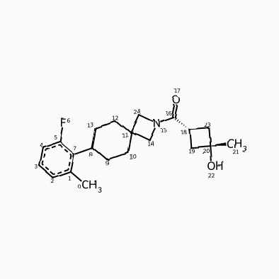 Cc1cccc(F)c1C1CCC2(CC1)CN(C(=O)[C@H]1C[C@@](C)(O)C1)C2